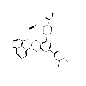 C=CC(=O)N1CCN(c2cc(C(=O)NC(CN)CN)nc3c2CCN(c2cccc4cccc(C)c24)C3)C[C@@H]1CC#N